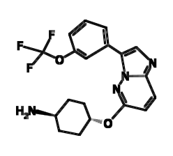 N[C@H]1CC[C@H](Oc2ccc3ncc(-c4cccc(OC(F)(F)F)c4)n3n2)CC1